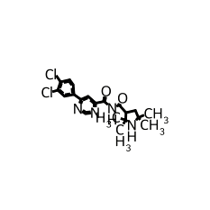 CC1(C)CC(C(=O)NC(=O)c2cc(-c3ccc(Cl)c(Cl)c3)ncn2)C(C)(C)N1